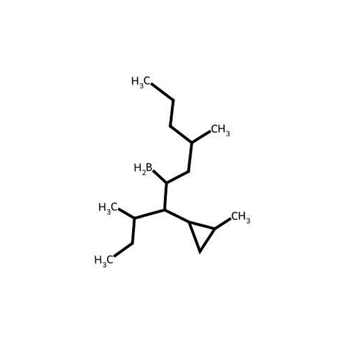 BC(CC(C)CCC)C(C(C)CC)C1CC1C